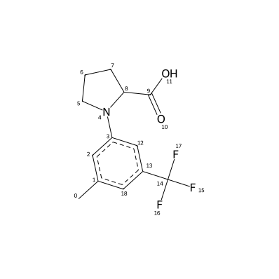 Cc1cc(N2CCCC2C(=O)O)cc(C(F)(F)F)c1